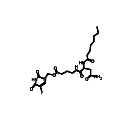 CCCCCCCC(=O)NC(CC(N)=O)C(=O)NCCCC(=O)OCn1cc(F)c(=O)[nH]c1=O